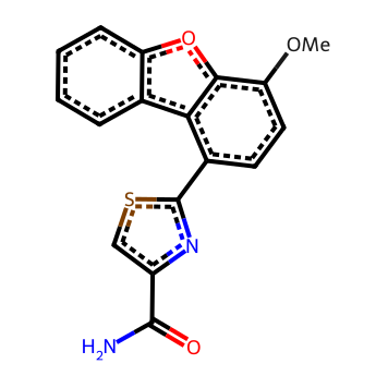 COc1ccc(-c2nc(C(N)=O)cs2)c2c1oc1ccccc12